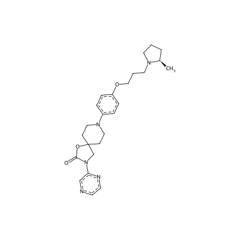 C[C@@H]1CCCN1CCCOc1ccc(N2CCC3(CC2)CN(c2cnccn2)C(=O)O3)cc1